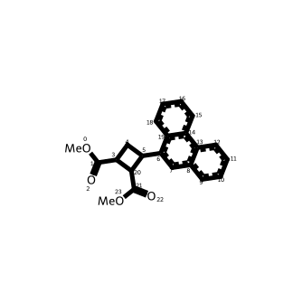 COC(=O)C1CC(c2cc3ccccc3c3ccccc23)C1C(=O)OC